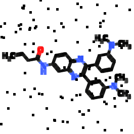 C=CCC(=O)Nc1ccc2nc(-c3cccc(N(C)C)c3)c(-c3cccc(N(C)C)c3)nc2c1